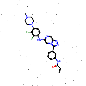 C=CC(=O)Nc1cccc(-c2nnc3cnc(Nc4ccc(N5CCN(C)CC5)c(F)c4F)cn23)c1